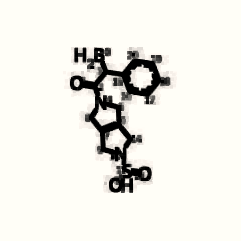 BC(C(=O)N1CC2=C(C1)CN([SH](=O)=O)C2)c1ccccc1